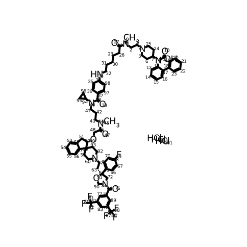 CN(CCN1CCC(N(C(=O)O)c2ccccc2-c2ccccc2)CC1)C(=O)CCCCCNc1ccc(C(=O)N(CCCN(C)C(=O)CO[C@H]2Cc3ccccc3C23CCN(CC[C@]2(c4ccc(F)cc4)CN(C(=O)c4cc(C(F)(F)F)cc(C(F)(F)F)c4)CO2)CC3)C2CC2)cc1.Cl.Cl.Cl